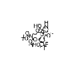 CCOC(c1ccc(O)c(C(F)(F)F)c1)P1(=O)CCNCC1(CCCCN(C(=O)OC(C)(C)C)C(=O)OC(C)(C)C)C(=O)O